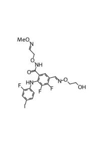 CO/N=C/CONC(=O)c1cc(/C=N/OCCO)c(F)c(F)c1Nc1ccc(I)cc1F